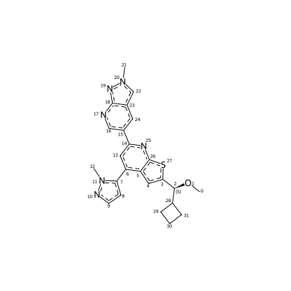 CO[C@H](c1cc2c(-c3ccnn3C)cc(-c3cnc4nn(C)cc4c3)nc2s1)C1CCC1